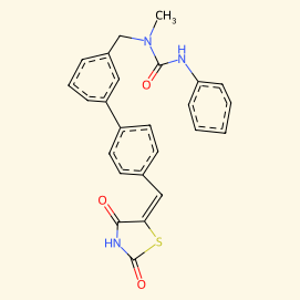 CN(Cc1cccc(-c2ccc(C=C3SC(=O)NC3=O)cc2)c1)C(=O)Nc1ccccc1